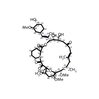 CO[C@H]1C[C@@H](C)C/C(C)=C/CC(=O)C[C@H](O)[C@@H](C)[C@@H](/C(C)=C/[C@@H]2CC[C@@H](O)[C@H](OC)C2)OC(=O)[C@@H]2CCCCN2C(=O)C(=O)[C@]2(O)O[C@H]1[C@@H](OC)C[C@H]2C